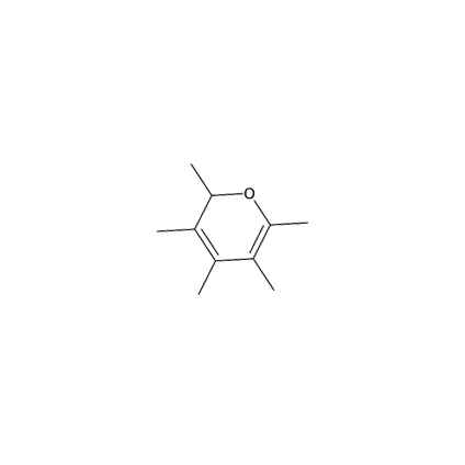 CC1=C(C)C(C)=C(C)C(C)O1